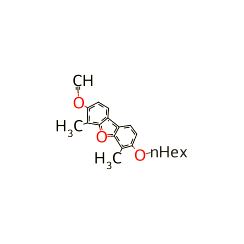 C#COc1ccc2c(oc3c(C)c(OCCCCCC)ccc32)c1C